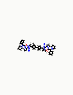 Cc1nc(C2CCCN2C(=O)C(c2ccccc2)N2CCCCC2)[nH]c1-c1ccc(-c2ccc(-c3[nH]c(C4CCCN4C(=O)C(c4ccccc4)N4CCCCC4)nc3C)cc2)cc1